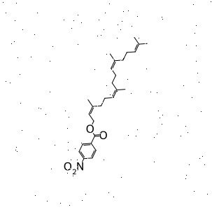 CC(C)=CCCC(C)=CCCC(C)=CCCC(C)=CCOC(=O)c1ccc([N+](=O)[O-])cc1